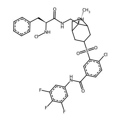 C[C@H]1CC2CC(S(=O)(=O)c3cc(C(=O)Nc4cc(F)c(F)c(F)c4)ccc3Cl)CC1[C@@]2(O)CNC(=O)[C@H](Cc1ccccc1)NCl